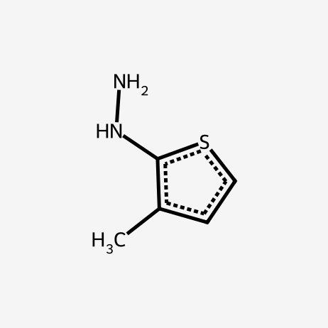 Cc1ccsc1NN